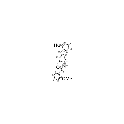 COc1ccccc1OC(=O)Nc1ccc(Cc2ccccc2O)cc1